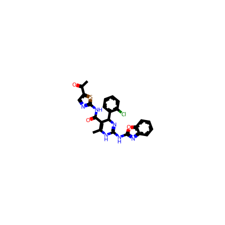 CC(=O)c1cnc(NC(=O)C2=C(C)NC(Nc3nc4ccccc4o3)=NC2c2ccccc2Cl)s1